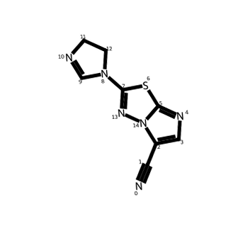 N#Cc1cnc2sc(N3C=NCC3)nn12